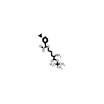 C1CC1.CC(C)(C)OC(=O)C(N)CCCOC(c1ccccc1)[N+](=O)[O-]